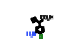 Nc1cc(C(CC(=O)O)C2CCC2)ccc1Cl